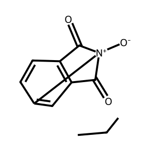 CCC.O=C1c2ccc3cc2C(=O)[N+]13[O-]